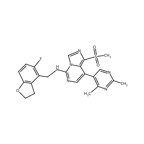 Cc1ncc(-c2cnc(NCc3c(F)ccc4c3CCO4)n3cnc(S(C)(=O)=O)c23)c(C)n1